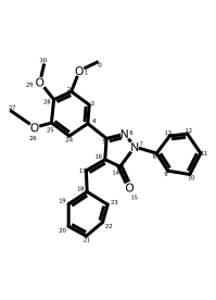 COc1cc(C2=NN(c3ccccc3)C(=O)C2=Cc2ccccc2)cc(OC)c1OC